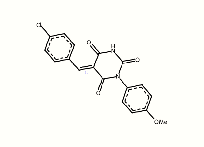 COc1ccc(N2C(=O)NC(=O)/C(=C\c3ccc(Cl)cc3)C2=O)cc1